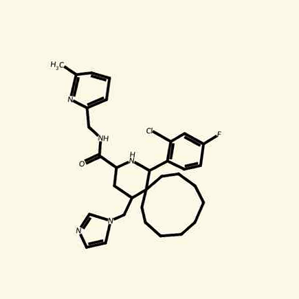 Cc1cccc(CNC(=O)C2CC(Cn3ccnc3)C3(CCCCCCCCC3)C(c3ccc(F)cc3Cl)N2)n1